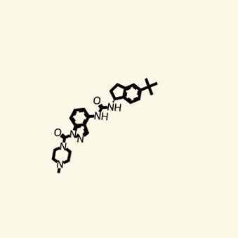 CN1CCN(C(=O)n2ncc3c(NC(=O)N[C@@H]4CCc5cc(C(C)(C)C)ccc54)cccc32)CC1